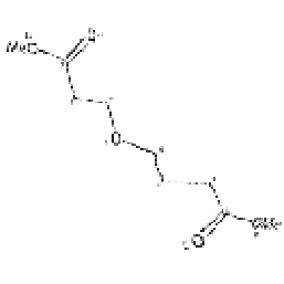 COC(=O)CCCOCCC(=O)OC